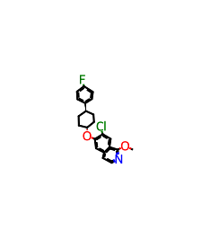 COc1nccc2cc(O[C@H]3CC[C@H](c4ccc(F)cc4)CC3)c(Cl)cc12